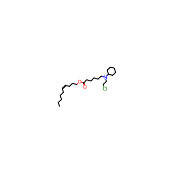 CCCCC/C=C\CCCOC(=O)CCCCCN(CCCl)C1CCCCC1